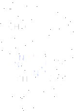 CC(=O)c1ccccc1N/N=C1\C(=O)N(c2ccc(C=O)cc2)N=C1C